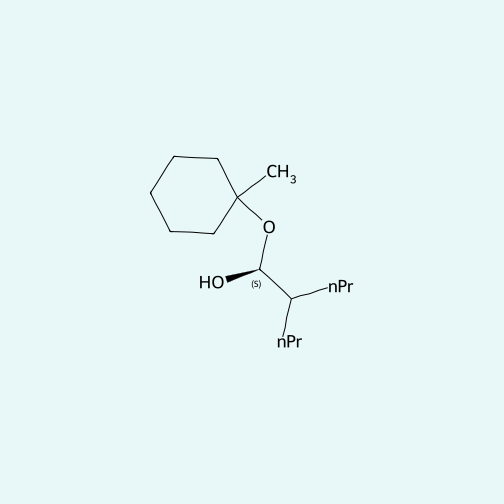 CCCC(CCC)[C@@H](O)OC1(C)CCCCC1